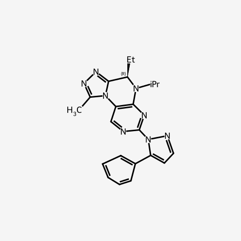 CC[C@@H]1c2nnc(C)n2-c2cnc(-n3nccc3-c3ccccc3)nc2N1C(C)C